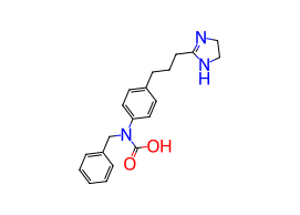 O=C(O)N(Cc1ccccc1)c1ccc(CCCC2=NCCN2)cc1